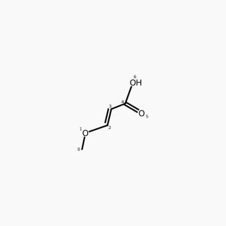 COC=CC(=O)O